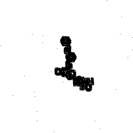 COc1cc(OCc2cccc(OCc3ccccc3)c2)c2oc(-c3cn4c(n3)SC(OC)N4)cc2c1